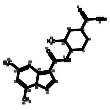 COC(=O)C1CCC(NC(=O)c2cnn3c(C)cc(C)nc23)C(C)C1